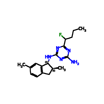 CCCC(F)c1nc(N)nc(N[C@H]2c3cc(C)ccc3C[C@@H]2C)n1